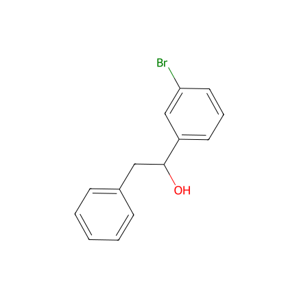 OC(Cc1ccccc1)c1cccc(Br)c1